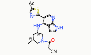 CC(=O)c1cnc(-c2cnc3[nH]ccc3c2N[C@@H]2C[C@H](C)CN(C(=O)CC#N)C2)s1